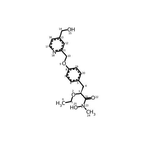 CCO[C@@H](Cc1ccc(OCc2cc(CO)ccn2)cc1)C(=O)N(C)O